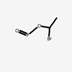 CC(Br)OP=O